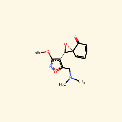 CCCCOc1noc(CN(C)C)c1[C@@H]1O[C@]12C=CC=CC2=O